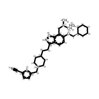 CN(C)Cc1c(OC[C@@H]2CCCC[C@H]2O)ccc2c(CCC3CCN(Cc4ccc(C#N)s4)CC3)noc12